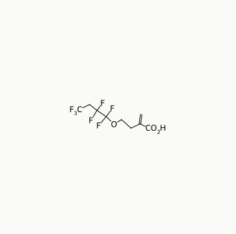 C=C(CCOC(F)(F)C(F)(F)CC(F)(F)F)C(=O)O